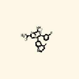 Cc1ccnc2ccc(-c3c(-c4cccc(F)c4)nc(N)c4nc(C(N)=O)cn34)cc12